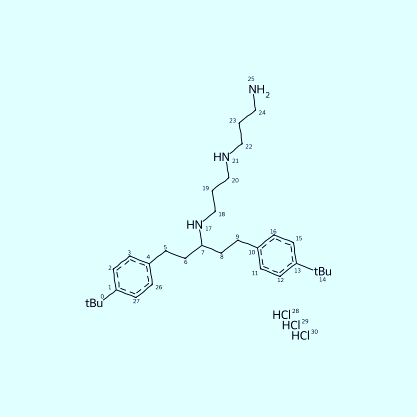 CC(C)(C)c1ccc(CCC(CCc2ccc(C(C)(C)C)cc2)NCCCNCCCN)cc1.Cl.Cl.Cl